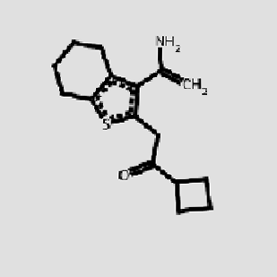 C=C(N)c1c(CC(=O)C2CCC2)sc2c1CCCC2